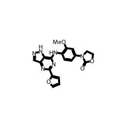 COc1cc(N2CCOC2=O)ccc1Nc1nc(-c2ccco2)nc2cn[nH]c12